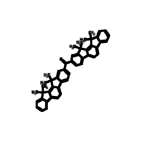 CC1(C)c2ccccc2-c2ccc3c(c21)C(C)(C)c1cc(C(=O)c2ccc4c(c2)C(C)(C)c2c-4ccc4c2C(C)(C)c2ccccc2-4)ccc1-3